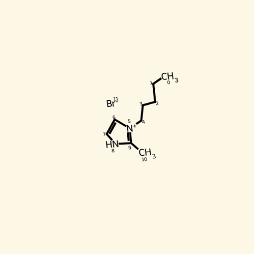 CCCCC[n+]1cc[nH]c1C.[Br-]